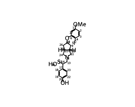 COc1ccc(F)c(O[C@H]2C[C@@H]3CN(CC(SO)c4ccc(O)cc4)C[C@@H]3C2)c1